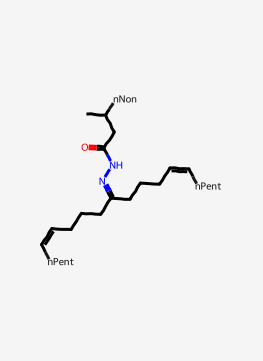 CCCCC/C=C\CCCC(CCC/C=C\CCCCC)=NNC(=O)CC(C)CCCCCCCCC